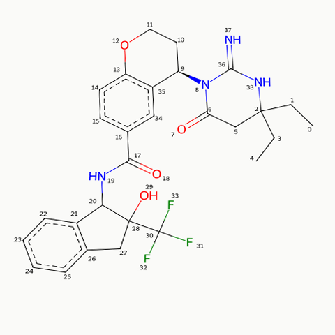 CCC1(CC)CC(=O)N([C@@H]2CCOc3ccc(C(=O)NC4c5ccccc5CC4(O)C(F)(F)F)cc32)C(=N)N1